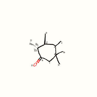 CC1C(C)C(C)(C)CC(=O)[C@@H]1C